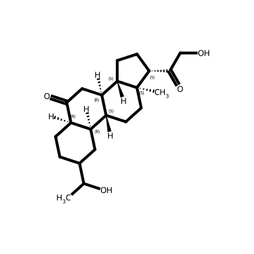 CC(O)C1CC[C@H]2C(=O)C[C@@H]3[C@H](CC[C@]4(C)[C@@H](C(=O)CO)CC[C@@H]34)[C@H]2C1